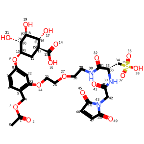 CC(=O)OCc1ccc(O[C@@H]2C[C@H](C(=O)O)[C@@H](O)[C@H](O)[C@H]2O)cc1OCCOCCNC(=O)[C@H](CS(=O)(=O)O)NC(=O)CN1C(=O)C=CC1=O